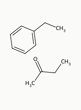 CCC(C)=O.CCc1ccccc1